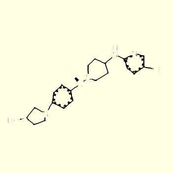 O=S(=O)(c1ccc(N2CC[C@@H](O)C2)cc1)N1CCC(Nc2ccc(C(F)(F)F)cn2)CC1